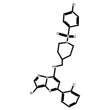 CC(=O)c1ccc(S(=O)(=O)N2CCC(CNc3cc(-c4ccccc4Cl)nc4c(Br)cnn34)CC2)cc1